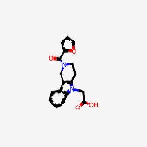 O=C(O)Cn1c2c(c3ccccc31)CN(C(=O)c1ccco1)CC2